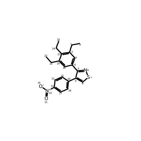 CCc1cc(-c2nscc2-c2ccc([N+](=O)[O-])cc2)cc(CC)c1CC